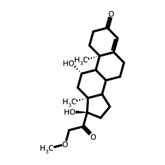 COCC(=O)[C@@]1(O)CCC2C3CCC4=CC(=O)CC[C@]4(C)C3[C@@H](O)C[C@@]21C